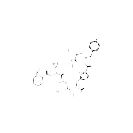 COC(=O)[C@@H](C)C[C@H](Cc1ccc(F)cc1)NC(=O)c1csc([C@@H](C[C@H](C(C)C)N(C)C(=O)[C@@H](NC(=O)[C@H]2CCCCN2C)C2CC2)OC(C)=O)n1